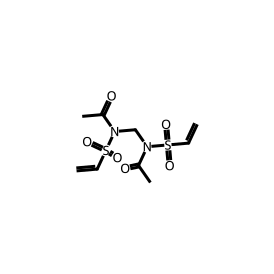 C=CS(=O)(=O)N(CN(C(C)=O)S(=O)(=O)C=C)C(C)=O